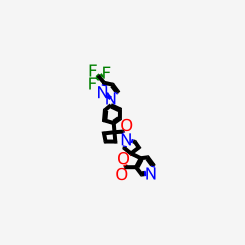 O=C1OC2(CCN(C(=O)C3(c4ccc(-n5ccc(C(F)(F)F)n5)cc4)CCC3)C2)c2ccncc21